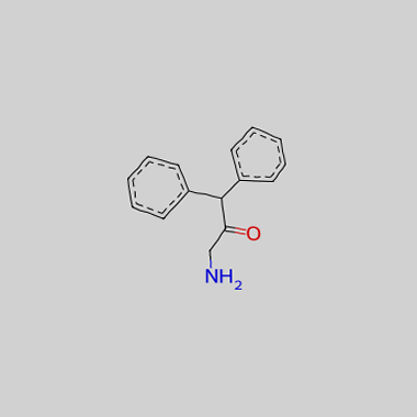 NCC(=O)C(c1ccccc1)c1ccccc1